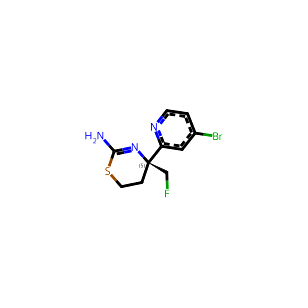 NC1=N[C@](CF)(c2cc(Br)ccn2)CCS1